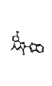 CN(C)/C=C1/C(=O)N(c2nc3ccccc3s2)N=C1c1cccc(Br)c1